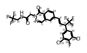 O=C(Cn1ncc2cc(C=CC(c3cc(Cl)c(F)c(Cl)c3)C(F)(F)F)ccc2c1=O)NCC(F)(F)F